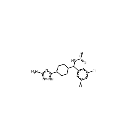 Nc1n[nH]c(N2CCC(C(N[SH](=O)=O)c3cc(Cl)cc(Cl)c3)CC2)n1